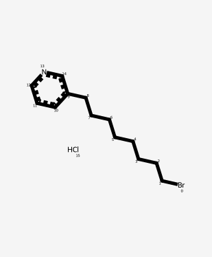 BrCCCCCCCCc1cccnc1.Cl